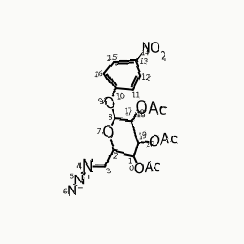 CC(=O)OC1C(CN=[N+]=[N-])OC(Oc2ccc([N+](=O)[O-])cc2)C(OC(C)=O)C1OC(C)=O